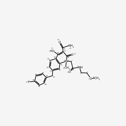 COCCNC(=O)C[N+]1(C)C(=O)C(C(N)=O)=C(O)c2ncc(Cc3ccc(F)cc3)cc21